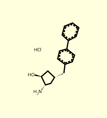 Cl.N[C@H]1C[C@@H](Cc2ccc(-c3ccccc3)cc2)C[C@@H]1O